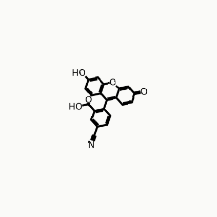 N#Cc1ccc(-c2c3ccc(=O)cc-3oc3cc(O)ccc23)c(C(=O)O)c1